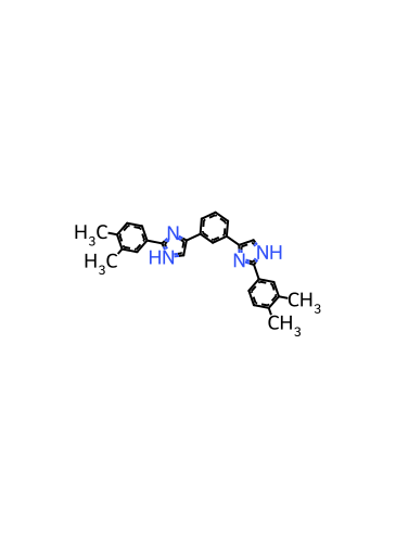 Cc1ccc(-c2nc(-c3cccc(-c4c[nH]c(-c5ccc(C)c(C)c5)n4)c3)c[nH]2)cc1C